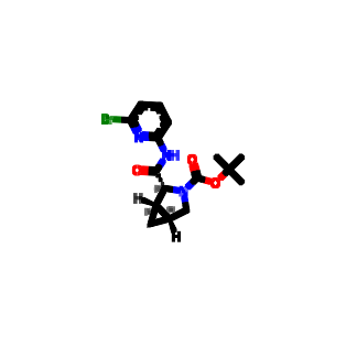 CC(C)(C)OC(=O)N1C[C@@H]2C[C@@H]2[C@@H]1C(=O)Nc1cccc(Br)n1